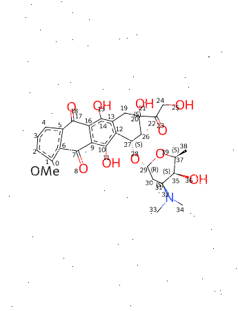 COc1cccc2c1C(=O)c1c(O)c3c(c(O)c1C2=O)C[C@@](O)(C(=O)CO)C[C@@H]3O[C@H]1C[C@H](N(C)C)[C@H](O)[C@H](C)O1